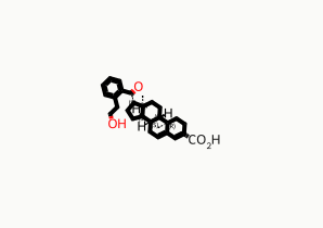 C[C@]12CC[C@H]3[C@@H](CC=C4C=C(C(=O)O)CC[C@@]43C)[C@@H]1CC[C@@H]2C(=O)c1ccccc1CCO